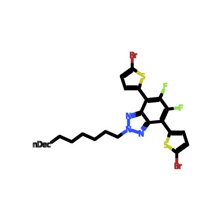 CCCCCCCCCCCCCCCCn1nc2c(-c3ccc(Br)s3)c(F)c(F)c(-c3ccc(Br)s3)c2n1